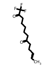 CC=CCCC(=O)CCCCCC(=O)C(F)(F)F